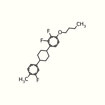 CCCCOc1ccc(C2CCC(c3ccc(C)c(F)c3)CC2)c(F)c1F